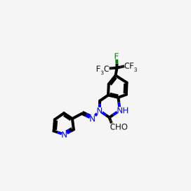 O=CC1Nc2ccc(C(F)(C(F)(F)F)C(F)(F)F)cc2CN1N=Cc1cccnc1